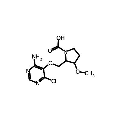 COC1CCN(C(=O)O)C1COc1c(N)ncnc1Cl